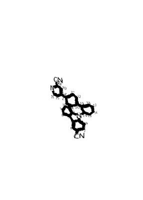 N#Cc1ccc2c(c1)c1ccccc1n2-c1ccccc1-c1ccc(-c2ccnc(C#N)c2)cc1